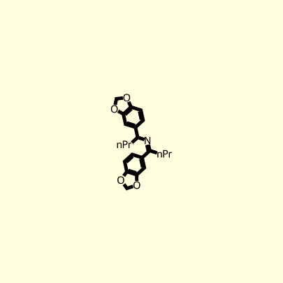 CCC/C(=N/C(CCC)c1ccc2c(c1)OCO2)c1ccc2c(c1)OCO2